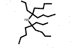 CCCCC(CCC)(CCCC)NC(CCC)(CCCC)CCCC